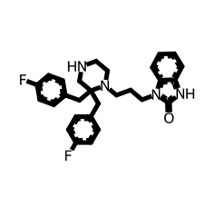 O=c1[nH]c2ccccc2n1CCCN1CCNCC1(Cc1ccc(F)cc1)Cc1ccc(F)cc1